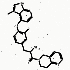 Cc1c[nH]c2nccc(Oc3ccc(CC(N)C(=O)N4CCc5ncccc5C4)cc3F)c12